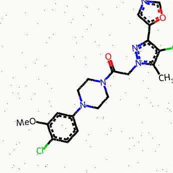 COc1cc(N2CCN(C(=O)Cn3nc(-c4cnco4)c(Cl)c3C)CC2)ccc1Cl